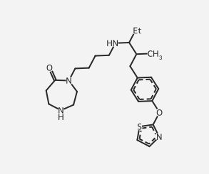 CCC(NCCCCN1CCNCCC1=O)C(C)Cc1ccc(Oc2nccs2)cc1